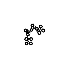 c1ccc([Si](c2ccccc2)(c2ccccc2)c2ccc(-n3c4ccccc4c4cc(-n5c6ccccc6c6cc(-c7cccc8c7-c7ccccc7[Si]8(c7ccccc7)c7ccccc7)ccc65)ccc43)cc2)cc1